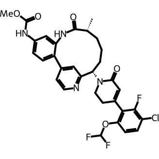 COC(=O)Nc1ccc2c(c1)NC(=O)[C@H](C)CCC[C@H](N1CCC(c3c(OC(F)F)ccc(Cl)c3F)=CC1=O)c1cc-2ccn1